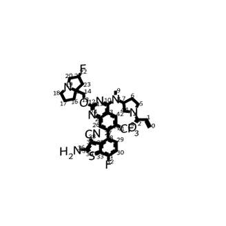 C=CC(=O)N1CCC(N(C)c2nc(OCC34CCCN3CC(F)C4)nc3cc(-c4ccc(F)c5sc(N)c(C#N)c45)c(C(F)(F)F)cc23)C1